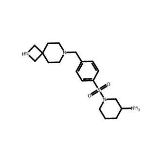 NC1CCCN(S(=O)(=O)c2ccc(CN3CCC4(CC3)CNC4)cc2)C1